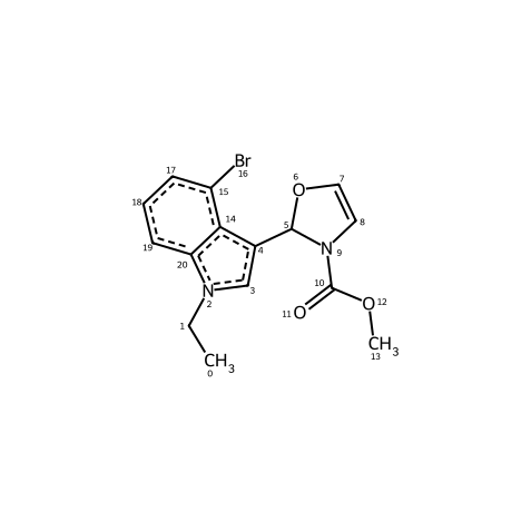 CCn1cc(C2OC=CN2C(=O)OC)c2c(Br)cccc21